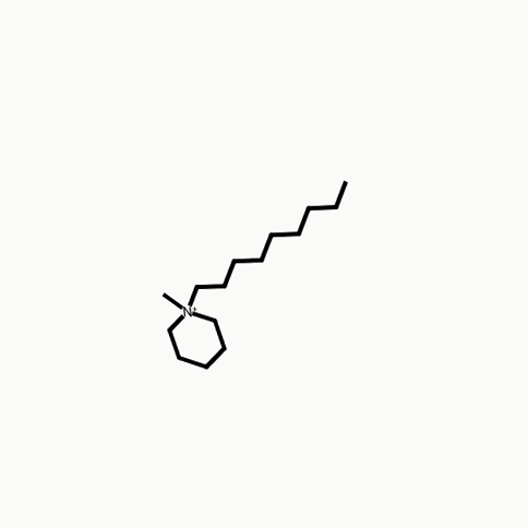 CCCCCCCCC[N+]1(C)CCCCC1